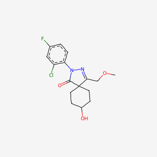 COCC1=NN(c2ccc(F)cc2Cl)C(=O)C12CCC(O)CC2